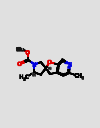 Cc1cc2c(cn1)O[C@]1(C2)C[C@H](C)N(C(=O)OC(C)(C)C)C1